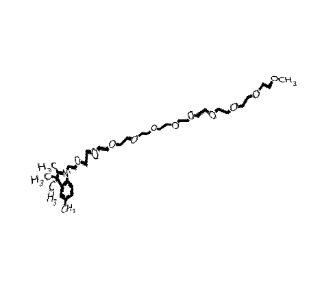 COCCOCCOCCOCCOCCOCCOCCOCCOCCOCCOCC[N+]1=C(C)C(C)(C)c2cc(C)ccc21